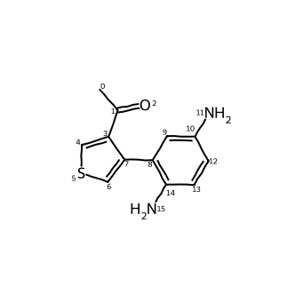 CC(=O)c1cscc1-c1cc(N)ccc1N